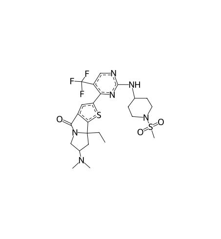 CCC12CC(N(C)C)CN1C(=O)c1cc(-c3nc(NC4CCN(S(C)(=O)=O)CC4)ncc3C(F)(F)F)sc12